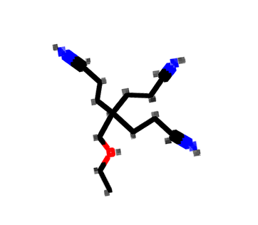 CCOCC(CCC#N)(CCC#N)CCC#N